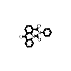 O=c1c2ccccc2n2c(=O)n(-c3ccccc3)c(=O)c3cccc1c32